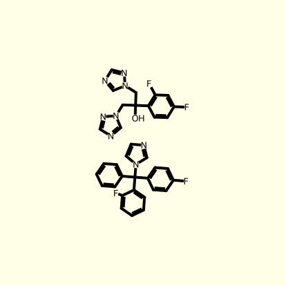 Fc1ccc(C(c2ccccc2)(c2ccccc2F)n2ccnc2)cc1.OC(Cn1cncn1)(Cn1cncn1)c1ccc(F)cc1F